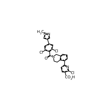 Cn1cc(-c2cc(Cl)c(C(=O)N3CCc4c(cccc4-c4ccc(C(=O)O)c(Cl)n4)C3)c(Cl)c2)cn1